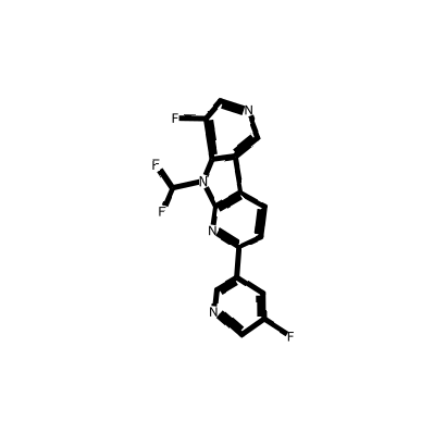 Fc1cncc(-c2ccc3c4cncc(F)c4n(C(F)F)c3n2)c1